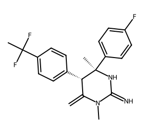 C=C1[C@H](c2ccc(C(C)(F)F)cc2)[C@@](C)(c2ccc(F)cc2)NC(=N)N1C